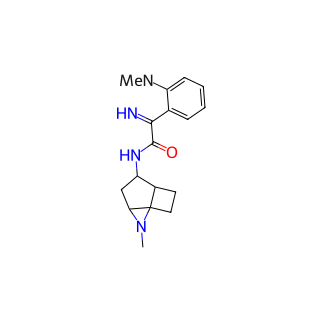 CNc1ccccc1C(=N)C(=O)NC1CC2N(C)C23CCC13